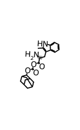 Cc1[nH]c2ccccc2c1C[C@@H](N)C(=O)OC(=O)OC1C2CC3CC(C2)CC1C3